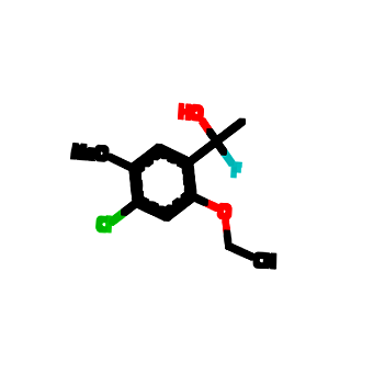 COc1cc(C(C)(O)F)c(OCC#N)cc1Cl